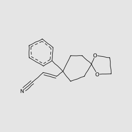 N#CC=CC1(c2ccccc2)CCC2(CC1)OCCO2